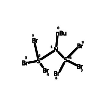 CCCCN(S(Br)(Br)Br)S(Br)(Br)Br